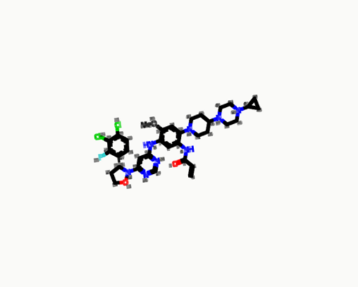 C=CC(=O)Nc1cc(Nc2cc(N3OCC[C@@H]3c3ccc(Cl)c(Cl)c3F)ncn2)c(OC)cc1N1CCC(N2CCN(C3CC3)CC2)CC1